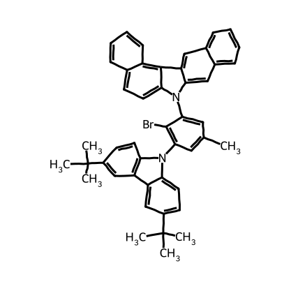 Cc1cc(-n2c3ccc(C(C)(C)C)cc3c3cc(C(C)(C)C)ccc32)c(Br)c(-n2c3cc4ccccc4cc3c3c4ccccc4ccc32)c1